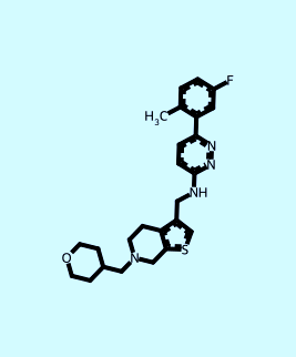 Cc1ccc(F)cc1-c1ccc(NCc2csc3c2CCN(CC2CCOCC2)C3)nn1